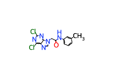 Cc1cccc(NC(=O)Cn2cnc3c(Cl)nc(Cl)nc32)c1